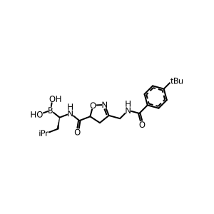 CC(C)C[C@H](NC(=O)C1CC(CNC(=O)c2ccc(C(C)(C)C)cc2)=NO1)B(O)O